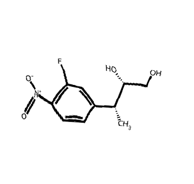 C[C@H](c1ccc([N+](=O)[O-])c(F)c1)[C@H](O)CO